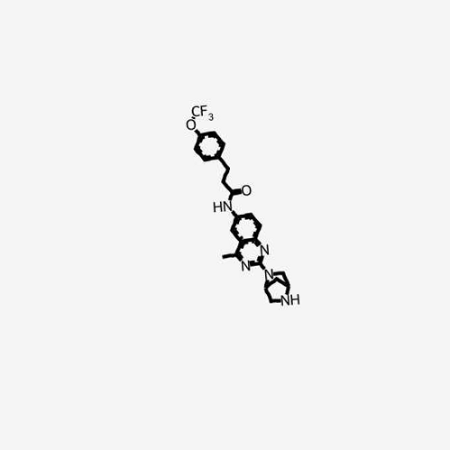 Cc1nc(N2CC3CC2CN3)nc2ccc(NC(=O)CCc3ccc(OC(F)(F)F)cc3)cc12